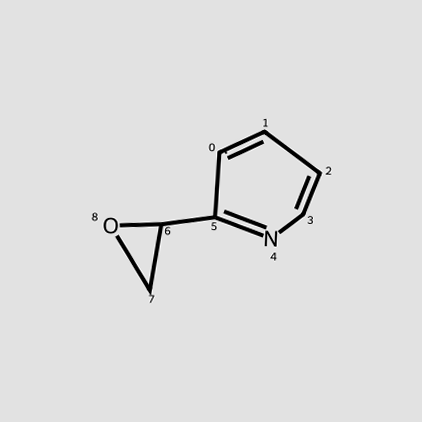 [c]1cccnc1C1CO1